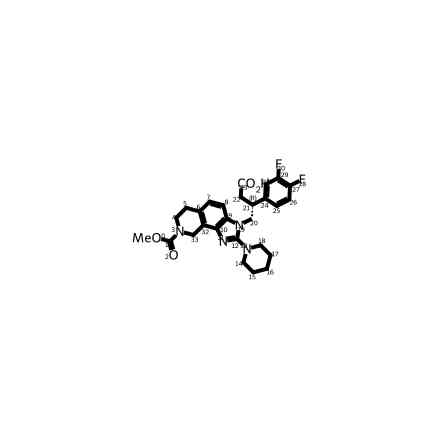 COC(=O)N1CCc2ccc3c(nc(N4CCCCC4)n3C[C@H](CC(=O)O)c3ccc(F)c(F)c3)c2C1